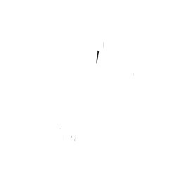 C[C@@H]1CC2(CNC(=O)C2)C[C@H]1C